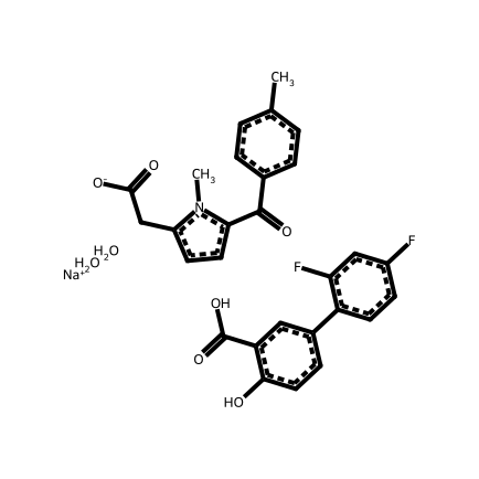 Cc1ccc(C(=O)c2ccc(CC(=O)[O-])n2C)cc1.O.O.O=C(O)c1cc(-c2ccc(F)cc2F)ccc1O.[Na+]